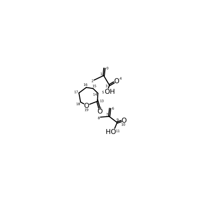 C=C(C)C(=O)O.C=C(C)C(=O)O.O=C1CCCCCO1